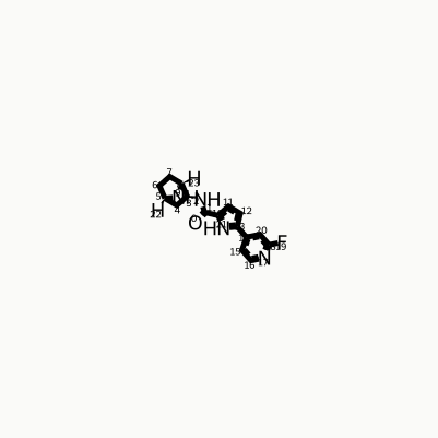 O=C(N[C@@H]1C[C@H]2CC[C@@H]1N2)c1ccc(-c2ccnc(F)c2)[nH]1